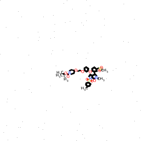 Cc1ccc(S(=O)(=O)n2ccc3c(-c4cc(CS(C)(=O)=O)ccc4Oc4cccc(OCCOC5CCN(C(=O)OC(C)(C)C)CC5)c4)cn(C)c(=O)c32)cc1